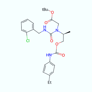 CCc1ccc(NC(=O)OC[C@H](C)N(CC(=O)OC(C)(C)C)C(=O)NCc2ccccc2Cl)cc1